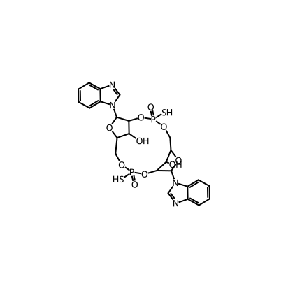 O=P1(S)OCC2OC(n3cnc4ccccc43)C(OP(=O)(S)OCC3OC(n4cnc5ccccc54)C(O1)C3O)C2O